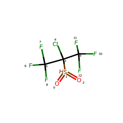 O=[SH](=O)C(Cl)(C(F)(F)F)C(F)(F)F